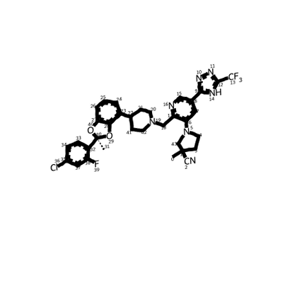 CC1(C#N)CCN(c2cc(-c3nnc(C(F)(F)F)[nH]3)cnc2CN2CCC(c3cccc4c3O[C@@](C)(c3ccc(Cl)cc3F)O4)CC2)C1